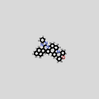 C1=Cc2nc(-n3c4cccc5c4c4c6c(ccc43)ccc3c6c4c-5cccc4n3-c3cccc4oc5ccccc5c34)c(-c3ccc4ccc5cccc6ccc3c4c56)nc2CC1